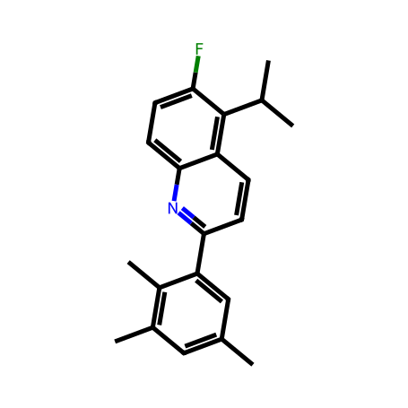 Cc1cc(C)c(C)c(-c2ccc3c(C(C)C)c(F)ccc3n2)c1